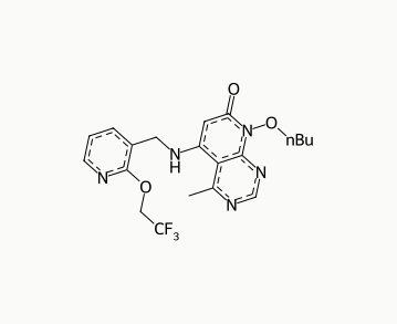 CCCCOn1c(=O)cc(NCc2cccnc2OCC(F)(F)F)c2c(C)ncnc21